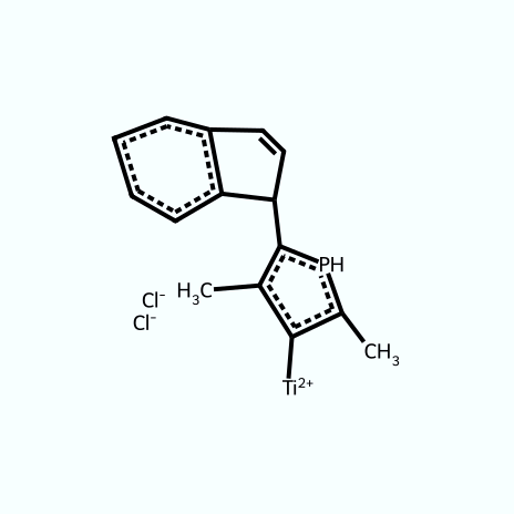 Cc1[pH]c(C2C=Cc3ccccc32)c(C)[c]1[Ti+2].[Cl-].[Cl-]